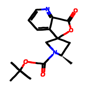 C[C@H]1CC2(CN1C(=O)OC(C)(C)C)OC(=O)c1ncccc12